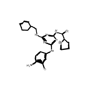 CCC(Nc1nc(NCC2CCCCC2)nc(Nc2ccc(N)c(Cl)c2)n1)C1CCCN1